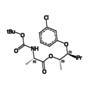 CC(C)[C@H](Oc1cccc(Cl)c1)[C@H](C)OC(=O)[C@H](C)NC(=O)OC(C)(C)C